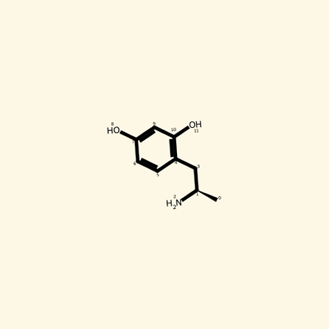 C[C@@H](N)Cc1ccc(O)cc1O